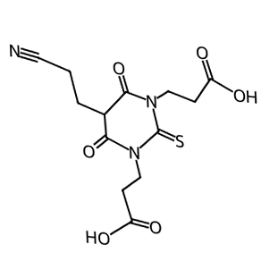 N#CCCC1C(=O)N(CCC(=O)O)C(=S)N(CCC(=O)O)C1=O